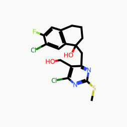 CSc1nc(Cl)c(CO)c(CC2(O)CCCc3cc(F)c(Cl)cc32)n1